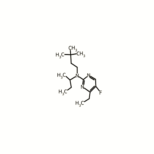 CCc1nc(N(CCC(C)(C)C)C(C)CC)ncc1F